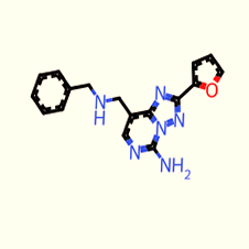 Nc1ncc(CNCc2ccccc2)c2nc(-c3ccco3)nn12